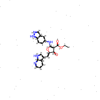 CCOC(=O)C1=C(Nc2ccc3[nH]ncc3c2)O/C(=C\c2c[nH]c3ncccc23)C1=O